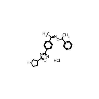 CC(=NOC(C)c1ccccc1)c1ccc(-c2noc(C3CCNC3)n2)cc1.Cl